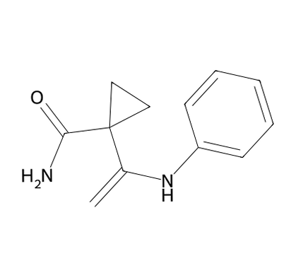 C=C(Nc1ccccc1)C1(C(N)=O)CC1